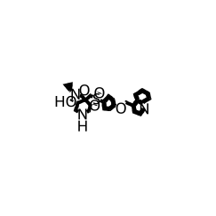 O=C(N(O)C1CC1)C1(CS(=O)(=O)c2ccc(OCc3ccnc4ccccc34)cc2)CCNCC1